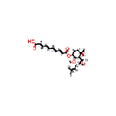 CO[C@@H]1C(OC(=O)/C=C/C=C/C=C/C=C/C(=O)O)CC[C@]2(CO2)[C@H]1[C@@]1(C)O[C@@H]1CC=C(C)C